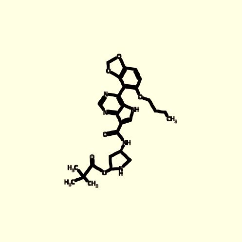 CCCCOc1ccc2c(c1-c1ncnc3c(C(=O)N[C@H]4CNC(OC(=O)C(C)(C)C)C4)c[nH]c13)OCO2